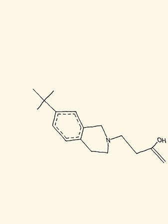 C=C(O)CCN1CCc2ccc(C(C)(C)C)cc2C1